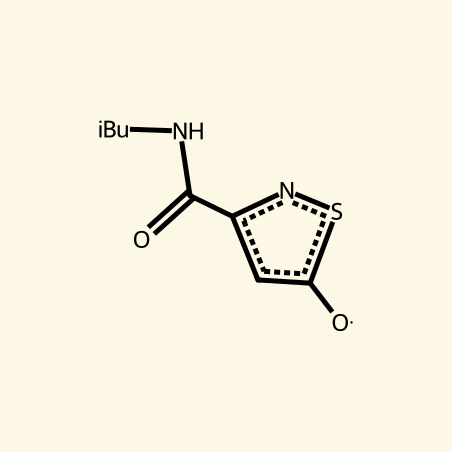 CCC(C)NC(=O)c1cc([O])sn1